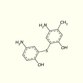 Cc1cc(O)c(Sc2cc(N)ccc2O)cc1N